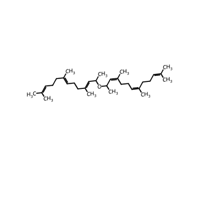 CC(C)=CCCC(C)=CCCC(C)=CC(C)OC(C)C=C(C)CCC=C(C)CCC=C(C)C